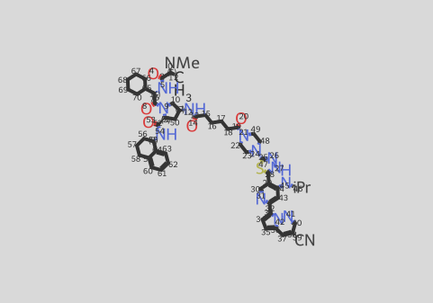 CN[C@@H](C)C(=O)N[C@H](C(=O)N1C[C@@H](NC(=O)CCCCC(=O)N2CCN(c3nnc(-c4cnc(-c5ccc6cc(C#N)cnn56)cc4NC(C)C)s3)CC2)C[C@H]1C(=O)N[C@@H]1CCCc2ccccc21)C1CCCCC1